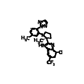 Cc1c[c]c(-n2nccn2)c(N2CCC[C@@]2(C)c2nc3c(Cl)cc(C(F)(F)F)cc3[nH]2)c1